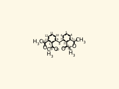 CC(=O)c1cccc(Cc2cccc(C(C)=O)c2C(C)=O)c1C(C)=O